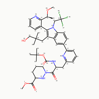 COC(=O)C1CCCN(C(=O)C(Cc2cccc(-c3ccc4c(c3)c(CC(C)(C)CO)c(-c3cccnc3[C@H](C)OC)n4CC(F)(F)F)n2)NC(=O)OC(C)(C)C)N1